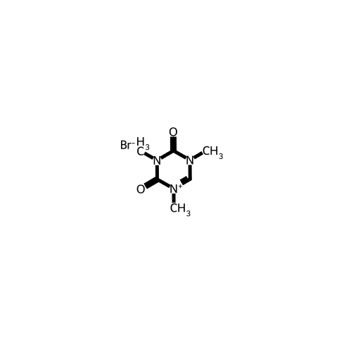 Cn1c[n+](C)c(=O)n(C)c1=O.[Br-]